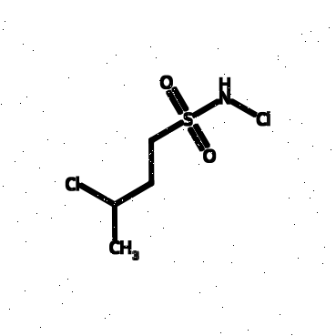 CC(Cl)CCS(=O)(=O)NCl